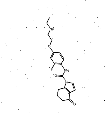 CCNCCOc1ccc(NC(=O)n2ccc3c2CCCC3=O)c(F)c1